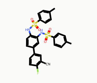 Cc1ccc(S(=O)(=O)Nc2ccc(-c3ccc(F)c(C#N)c3)cc2NS(=O)(=O)c2ccc(C)cc2)cc1